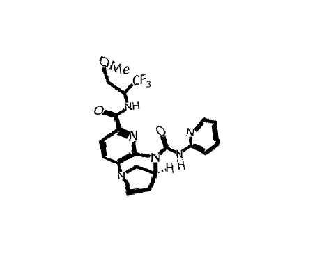 COCC(NC(=O)c1ccc2c(n1)N(C(=O)Nc1ccccn1)[C@H]1CCN2C1)C(F)(F)F